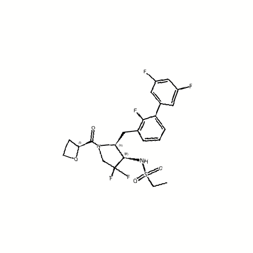 CCS(=O)(=O)N[C@@H]1[C@H](Cc2cccc(-c3cc(F)cc(F)c3)c2F)N(C(=O)[C@@H]2CCO2)CC1(F)F